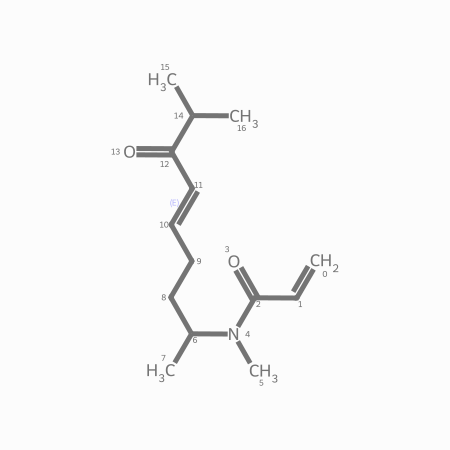 C=CC(=O)N(C)C(C)CC/C=C/C(=O)C(C)C